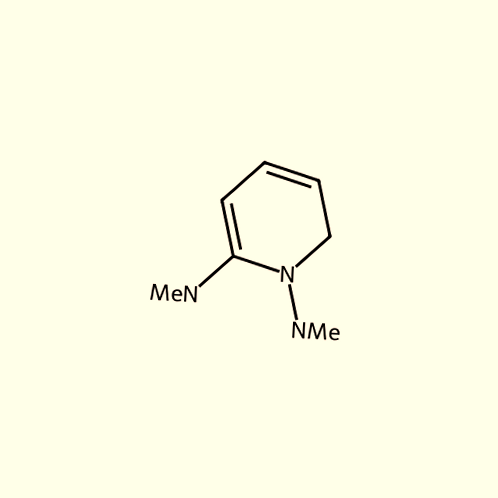 CNC1=CC=CCN1NC